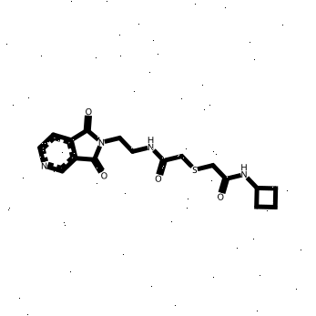 O=C(CSCC(=O)NC1CCC1)NCCN1C(=O)c2ccncc2C1=O